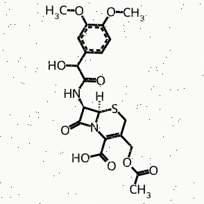 COc1ccc(C(O)C(=O)N[C@@H]2C(=O)N3C(C(=O)O)=C(COC(C)=O)CS[C@H]23)cc1OC